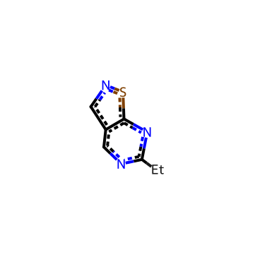 CCc1ncc2cnsc2n1